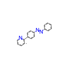 [c]1cccnc1-c1ccc(N=Nc2ccccc2)cc1